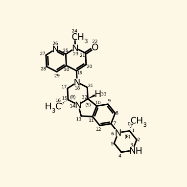 C[C@@H]1CNCCN1c1ccc2c(c1)CN1[C@H](C)CN(c3cc(=O)n(C)c4ncccc34)C[C@H]21